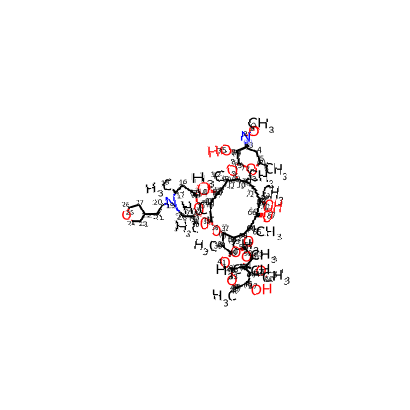 CO/N=C1\C[C@@H](C)O[C@@H](O[C@@H]2[C@@H](C)[C@H](O[C@H]3CC(C)N(CCC4CCOCC4)C[C@H](C)O3)[C@@H](C)C(=O)O[C@H]([C@@H](C)CO[C@@H]3O[C@H](C)[C@@H](O)[C@@H](OC)[C@H]3OC)[C@H](C)[C@@H](OC(=O)CC(C)C)[C@@H](C)C(=O)[C@@](C)(O)C[C@@H]2C)[C@@H]1O